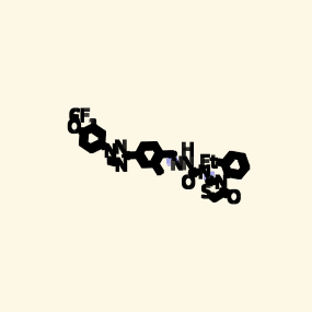 CCc1ccccc1N1C(=O)CS/C1=N\C(=O)N/N=C/c1ccc(-c2ncn(-c3ccc(OC(F)(F)F)cc3)n2)cc1C